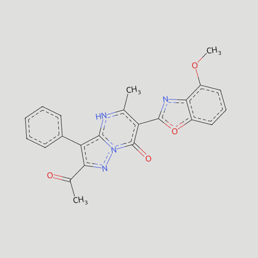 COc1cccc2oc(-c3c(C)[nH]c4c(-c5ccccc5)c(C(C)=O)nn4c3=O)nc12